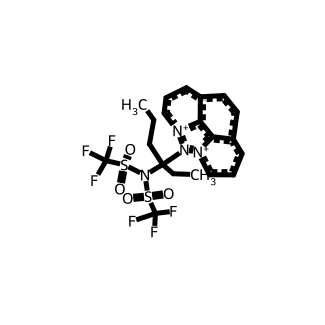 CCCC(CC)(N(S(=O)(=O)C(F)(F)F)S(=O)(=O)C(F)(F)F)n1[n+]2cccc3ccc4ccc[n+]1c4c32